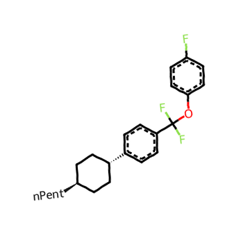 CCCCC[C@H]1CC[C@H](c2ccc(C(F)(F)Oc3ccc(F)cc3)cc2)CC1